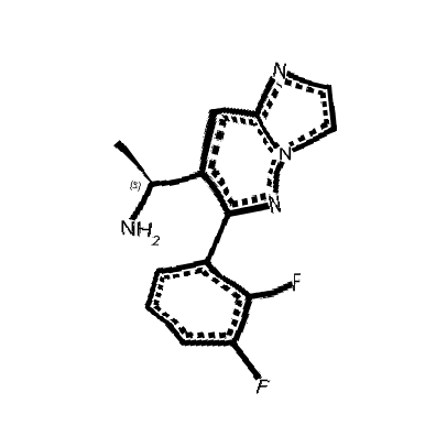 C[C@H](N)c1cc2nccn2nc1-c1cccc(F)c1F